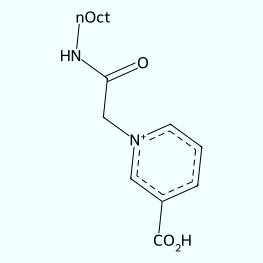 CCCCCCCCNC(=O)C[n+]1cccc(C(=O)O)c1